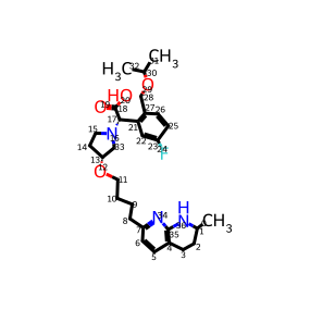 CC1CCc2ccc(CCCCO[C@@H]3CCN([C@H](C(=O)O)c4cc(F)ccc4COC(C)C)C3)nc2N1